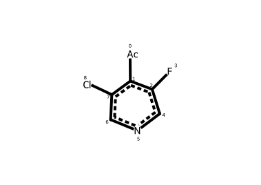 CC(=O)c1c(F)cncc1Cl